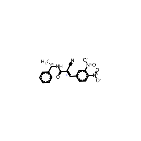 C[C@H](NC(=O)/C(C#N)=C/c1ccc([N+](=O)[O-])c([N+](=O)[O-])c1)c1ccccc1